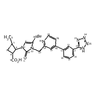 CCCCc1cn(C2C(C)CC2C(=O)O)c(=O)n1Cc1cc(-c2cccc(-c3nnn[nH]3)c2)ccn1